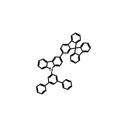 c1ccc(-c2cc(-c3ccccc3)cc(-n3c4ccccc4c4cc(-c5ccc6c(c5)C5(c7ccccc7-c7ccccc75)c5ccccc5-6)ccc43)c2)cc1